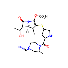 CC(O)C1C(=O)N2C(OC(=O)O)=C(SC3CNC(C(=O)N4CCN(C=N)CC4C)C3)C(C)[C@@H]12